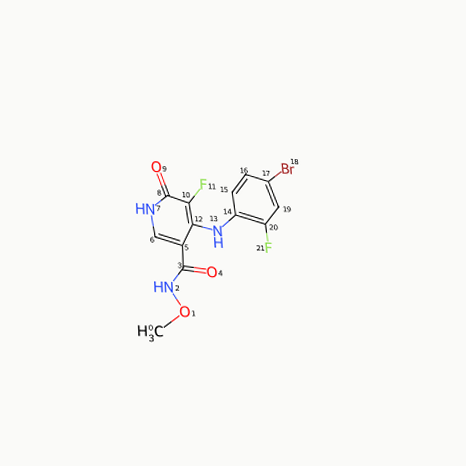 CONC(=O)c1c[nH]c(=O)c(F)c1Nc1ccc(Br)cc1F